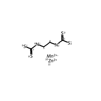 S=C([S-])[N-]CC[N-]C(=S)[S-].[Mn+2].[Zn+2]